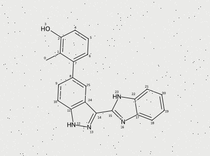 Cc1c(O)cccc1-c1ccc2[nH]nc(-c3nc4ccccc4[nH]3)c2c1